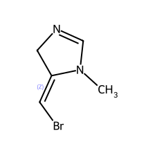 CN1C=NC/C1=C/Br